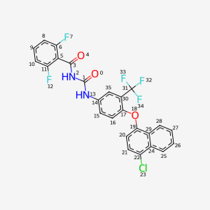 O=C(NC(=O)c1c(F)cccc1F)Nc1ccc(Oc2ccc(Cl)c3ccccc23)c(C(F)(F)F)c1